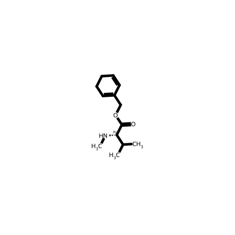 CN[C@H](C(=O)OCC1=CCCC=C1)C(C)C